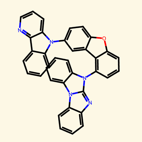 c1ccc2c(c1)nc1n(-c3cccc4oc5ccc(-n6c7ccccc7c7ncccc76)cc5c34)c3ccccc3n21